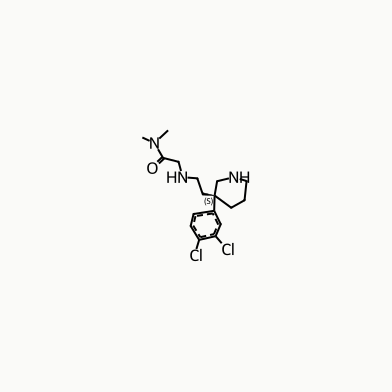 CN(C)C(=O)CNCC[C@]1(c2ccc(Cl)c(Cl)c2)CCCNC1